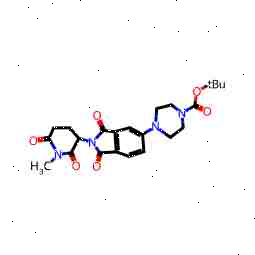 CN1C(=O)CCC(N2C(=O)c3ccc(N4CCN(C(=O)OC(C)(C)C)CC4)cc3C2=O)C1=O